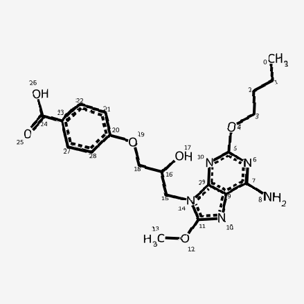 CCCCOc1nc(N)c2nc(OC)n(CC(O)COc3ccc(C(=O)O)cc3)c2n1